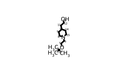 CC(C)(C)OCCN1CCC(CCO)CC1